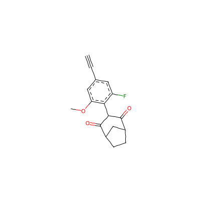 C#Cc1cc(F)c(C2C(=O)C3CCC(C3)C2=O)c(OC)c1